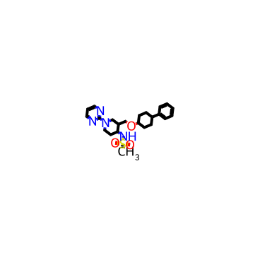 CS(=O)(=O)NC1CCN(c2ncccn2)CC1COC1CCC(c2ccccc2)CC1